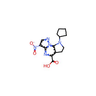 O=C(O)c1nc2c([N+](=O)[O-])cnn2c2c1CCN2C1CCCC1